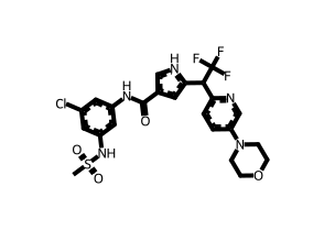 CS(=O)(=O)Nc1cc(Cl)cc(NC(=O)c2c[nH]c(C(c3ccc(N4CCOCC4)cn3)C(F)(F)F)c2)c1